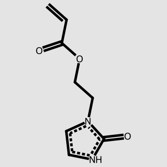 C=CC(=O)OCCn1cc[nH]c1=O